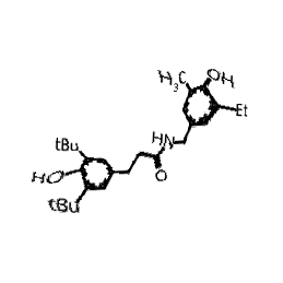 CCc1cc(CNC(=O)CCc2cc(C(C)(C)C)c(O)c(C(C)(C)C)c2)cc(C)c1O